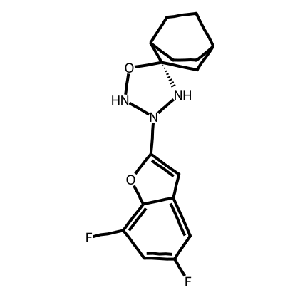 Fc1cc(F)c2oc(N3NO[C@@]4(CC5CCC4CC5)N3)cc2c1